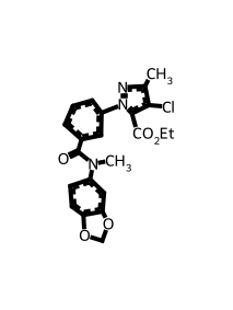 CCOC(=O)c1c(Cl)c(C)nn1-c1cccc(C(=O)N(C)c2ccc3c(c2)OCO3)c1